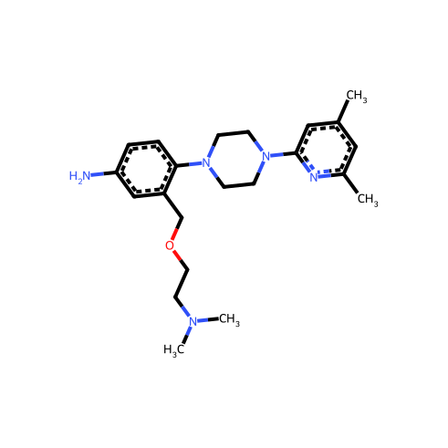 Cc1cc(C)nc(N2CCN(c3ccc(N)cc3COCCN(C)C)CC2)c1